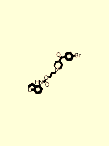 O=C(Nc1cccc2occc12)OCCCN1CCC(C(=O)c2ccc(Br)cc2)CC1